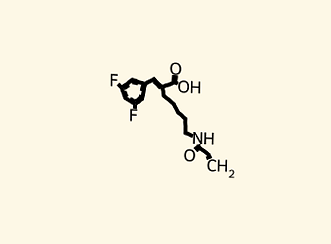 C=CC(=O)NCCCCC/C(=C\c1cc(F)cc(F)c1)C(=O)O